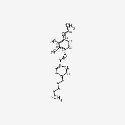 CCCCCC1CC=C(COc2ccc(OCC)c(F)c2F)OC1